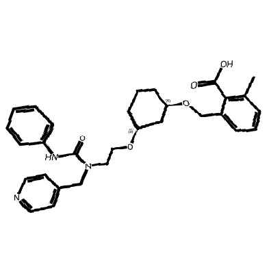 Cc1cccc(CO[C@@H]2CCC[C@H](OCCN(Cc3ccncc3)C(=O)Nc3ccccc3)C2)c1C(=O)O